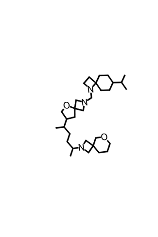 CC(C)C1CCC2(CC1)CCN2CN1CC2(CC(C(C)CCC(C)N3CC4(CCCOC4)C3)CO2)C1